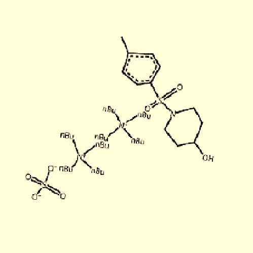 CCCC[N+](CCCC)(CCCC)CCCC.CCCC[N+](CCCC)(CCCC)CCCC.Cc1ccc(S(=O)(=O)N2CCC(O)CC2)cc1.O=S(=O)([O-])[O-]